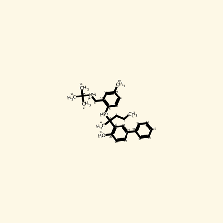 CCCC(C)(Pc1ccc(C)cc1CNC(C)(C)C)c1cc(-c2ccccc2)ccc1O